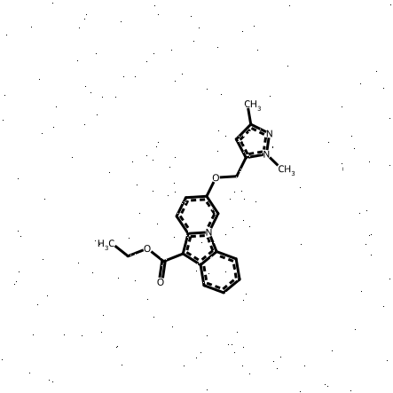 CCOC(=O)c1c2ccccc2n2cc(OCc3cc(C)nn3C)ccc12